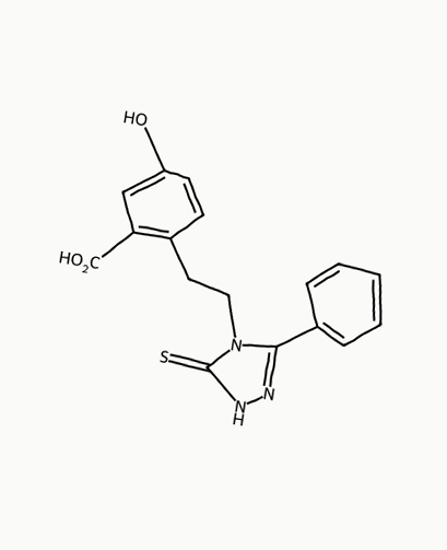 O=C(O)c1cc(O)ccc1CCn1c(-c2ccccc2)n[nH]c1=S